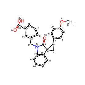 COc1ccc(C2CC23C(=O)N(Cc2cccc(C(=O)O)c2)c2ccccc23)cc1